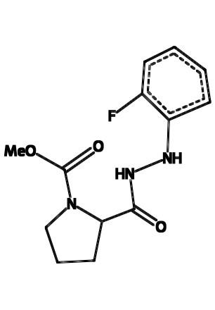 COC(=O)N1CCCC1C(=O)NNc1ccccc1F